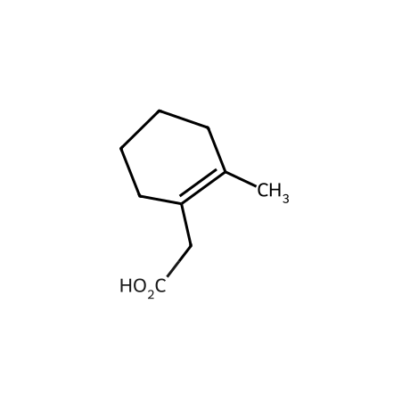 CC1=C(CC(=O)O)CCCC1